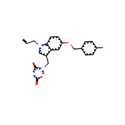 C=CCn1cc(Cn2oc(=O)[nH]c2=O)c2cc(OCc3ccc(C(C)(C)C)cc3)ccc21